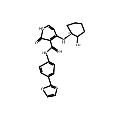 N#CC1CCCC[C@@H]1Nc1cc[nH]c(=O)c1C(=N)Nc1ccc(-c2ncco2)cc1